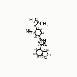 CC(C)Cc1ccc(-c2nnc(-c3cccc4c3CCC4)s2)cc1C#N